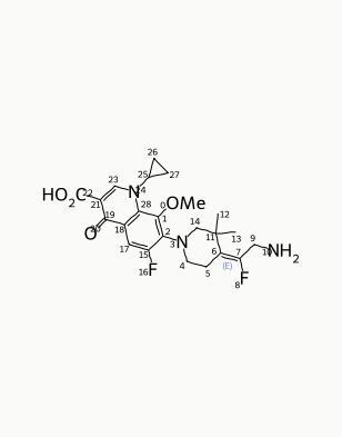 COc1c(N2CC/C(=C(\F)CN)C(C)(C)C2)c(F)cc2c(=O)c(C(=O)O)cn(C3CC3)c12